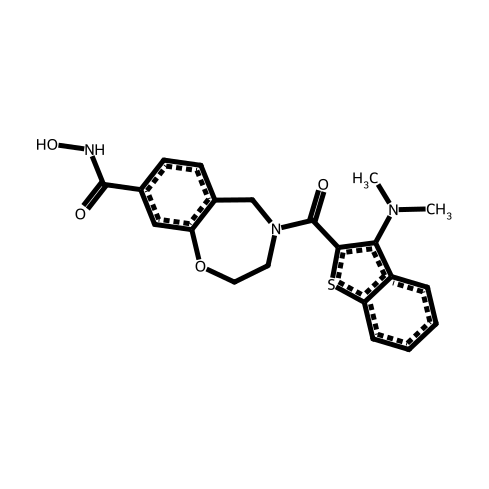 CN(C)c1c(C(=O)N2CCOc3cc(C(=O)NO)ccc3C2)sc2ccccc12